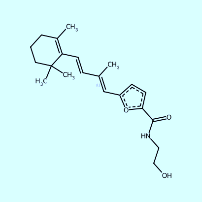 CC1=C(C=C/C(C)=C/c2ccc(C(=O)NCCO)o2)C(C)(C)CCC1